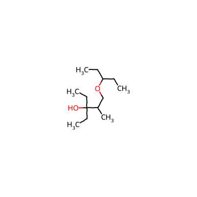 CCC(CC)OCC(C)C(O)(CC)CC